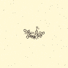 Cc1ccc(CC(CC(=O)OC(=O)C[C@@H](Nc2ccccc2)C(=O)N(C)c2nc(-c3ccccc3Cl)cs2)C(=O)N(C)c2nc(-c3ccccc3Cl)cs2)cc1